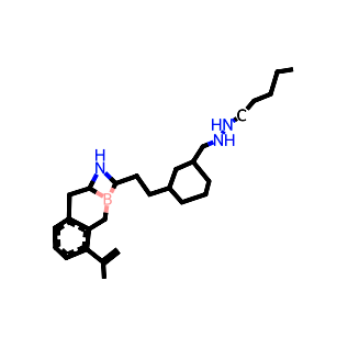 C=C(C)c1cccc2c1CB1C(CCC3CCCC(CNNCCCCC)C3)NC1C2